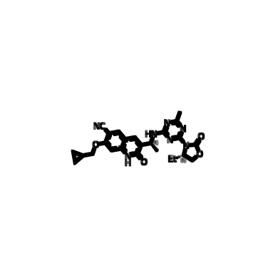 CC[C@H]1COC(=O)N1c1nc(C)nc(N[C@@H](C)c2cc3cc(C#N)c(OCC4CC4)cc3[nH]c2=O)n1